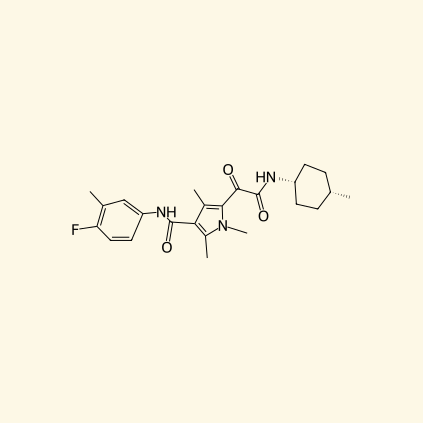 Cc1cc(NC(=O)c2c(C)c(C(=O)C(=O)N[C@H]3CC[C@@H](C)CC3)n(C)c2C)ccc1F